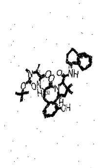 C[C@@H](C(=O)N[C@H]1Cc2cccc(O)c2[C@H]2CC(C)(C)C(C(=O)N[C@@H]3CCCc4ccccc43)N2C1=O)N(C)C(=O)OC(C)(C)C